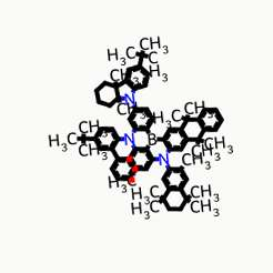 Cc1cc2c3c(c1)N(c1ccc(C(C)(C)C)cc1-c1ccccc1)c1cc(N4c5ccc(C(C)(C)C)cc5C5(C)CCCCC45C)ccc1B3c1cc3c(cc1N2c1cc2c(cc1C)C(C)(C)CCC2(C)C)C(C)(C)c1ccccc1C3(C)C